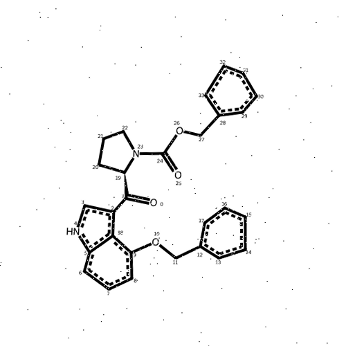 O=C(c1c[nH]c2cccc(OCc3ccccc3)c12)[C@H]1CCCN1C(=O)OCc1ccccc1